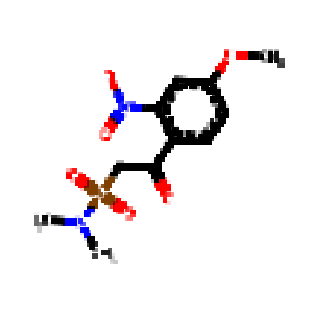 COc1ccc(C(=O)CS(=O)(=O)N(C)C)c([N+](=O)[O-])c1